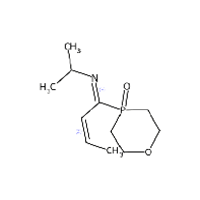 C/C=C\C(=N/C(C)C)P1(=O)CCOCC1